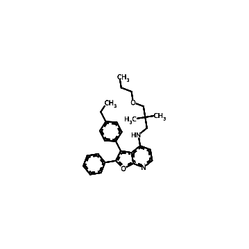 CCCOCC(C)(C)CNc1ccnc2oc(-c3ccccc3)c(-c3ccc(CC)cc3)c12